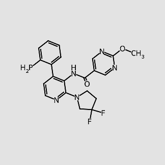 COc1ncc(C(=O)Nc2c(-c3ccccc3P)ccnc2N2CCC(F)(F)C2)cn1